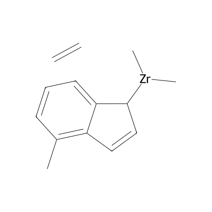 C=C.Cc1cccc2c1C=C[CH]2[Zr]([CH3])[CH3]